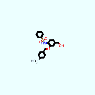 O=C(O)c1ccc(COc2cc(CO)ccc2NS(=O)(=O)c2ccccc2)cc1